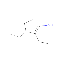 CCC1=C(N)CCC1CC